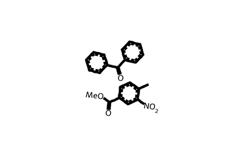 COC(=O)c1ccc(C)c([N+](=O)[O-])c1.O=C(c1ccccc1)c1ccccc1